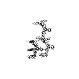 O=C([O-])CN(CC(=O)[O-])Cc1cccc(-c2cc(-c3ccccc3)cc(-c3cccc(CN(CC(=O)[O-])CC(=O)[O-])n3)n2)n1.O=C([O-])CN(CC(=O)[O-])Cc1cccc(-c2cc(-c3ccccc3)cc(-c3cccc(CN(CC(=O)[O-])CC(=O)[O-])n3)n2)n1.O=C([O-])CN(CC(=O)[O-])Cc1cccc(-c2cc(-c3ccccc3)cc(-c3cccc(CN(CC(=O)[O-])CC(=O)[O-])n3)n2)n1.[Eu+3].[Eu+3].[Eu+3].[Eu+3]